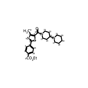 CCOC(=O)c1ccc(-c2nc(C)c(C(=O)N3CCC(N4CCCCC4)CC3)s2)cc1